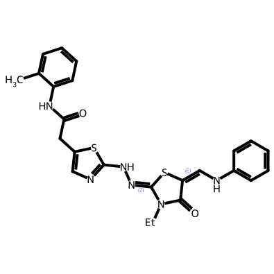 CCN1C(=O)/C(=C\Nc2ccccc2)S/C1=N\Nc1ncc(CC(=O)Nc2ccccc2C)s1